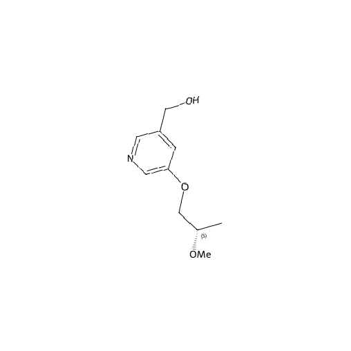 CO[C@@H](C)COc1cncc(CO)c1